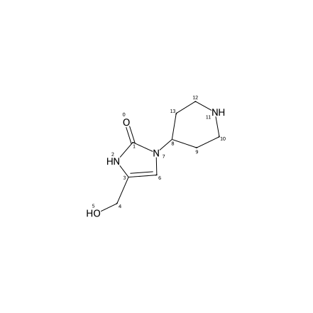 O=c1[nH]c(CO)cn1C1CCNCC1